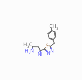 Cc1ccc(Cc2nnc(C(=N)CC(C)N)s2)cc1